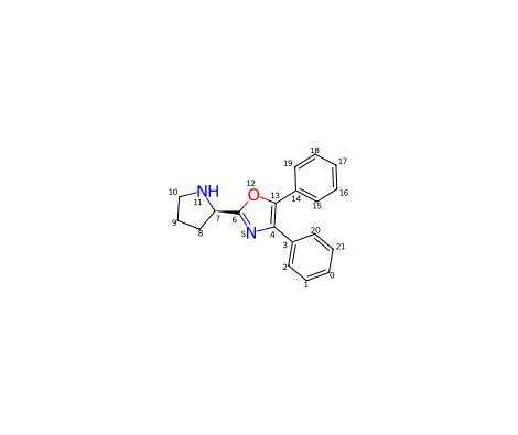 c1ccc(-c2nc([C@H]3CCCN3)oc2-c2ccccc2)cc1